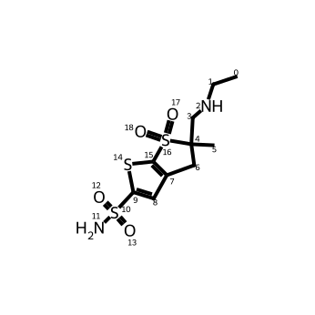 CCNCC1(C)Cc2cc(S(N)(=O)=O)sc2S1(=O)=O